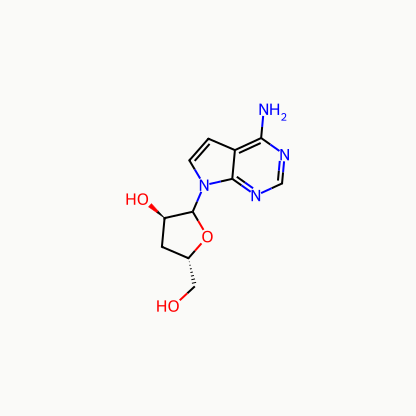 Nc1ncnc2c1ccn2C1O[C@H](CO)C[C@H]1O